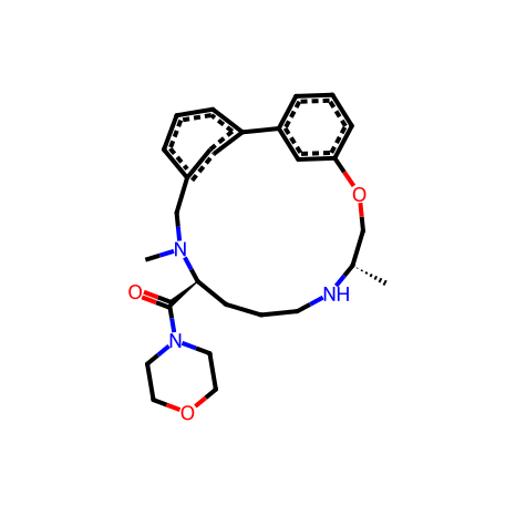 C[C@H]1COc2cccc(c2)-c2cccc(c2)CN(C)[C@H](C(=O)N2CCOCC2)CCCN1